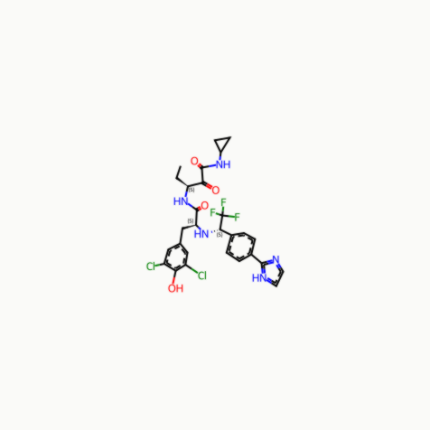 CC[C@H](NC(=O)[C@H](Cc1cc(Cl)c(O)c(Cl)c1)N[C@@H](c1ccc(-c2ncc[nH]2)cc1)C(F)(F)F)C(=O)C(=O)NC1CC1